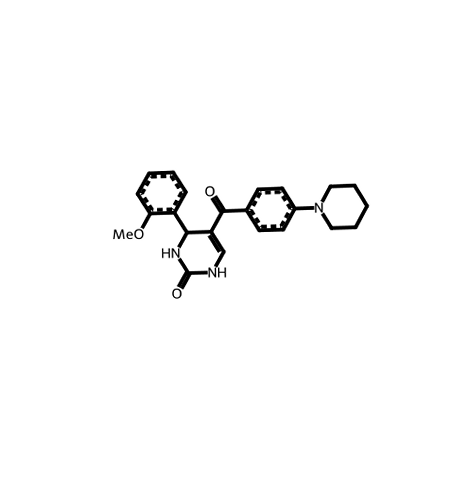 COc1ccccc1C1NC(=O)NC=C1C(=O)c1ccc(N2CCCCC2)cc1